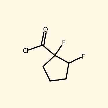 O=C(Cl)C1(F)CCCC1F